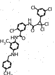 Cc1ccc(CNc2ccc(NC(=O)c3cc(NC(=O)C4C(c5cc(Cl)cc(Cl)c5)C4(Cl)Cl)ccc3Cl)c(C)c2)cc1